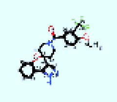 COc1ccc(C(=O)N2CCC3(CC2)Oc2ccccc2-c2[nH]ncc23)cc1C(F)(F)F